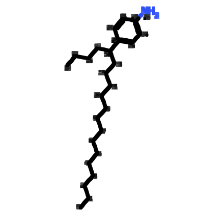 CCCCCCCCCCCCCCC(CCCC)c1ccc(N)cc1